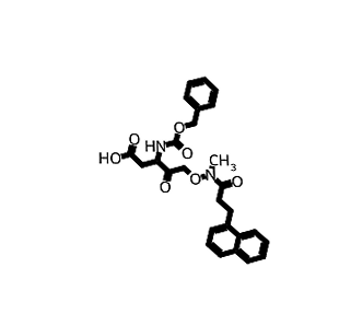 CN(OCC(=O)C(CC(=O)O)NC(=O)OCc1ccccc1)C(=O)CCc1cccc2ccccc12